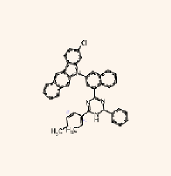 C/C=C(\C=C/CC)C1=NC(c2cc(-n3c4cc(Cl)ccc4c4cc5ccccc5cc43)cc3ccccc23)=NC(c2ccccc2)N1